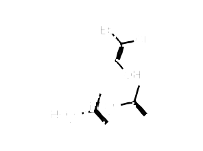 C=C(C)C(=O)O.C=C(C)C(=O)O.CCC(O)=CO